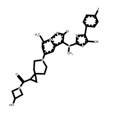 CCc1nn2c(C)cc(N3CCC4(CC3)CC4C(=O)N3CC(O)C3)cc2c1N(C)c1nc(-c2ccc(F)cc2)c(C#N)s1